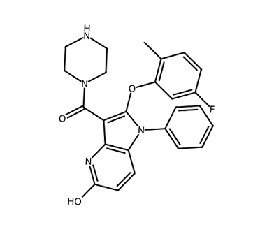 Cc1ccc(F)cc1Oc1c(C(=O)N2CCNCC2)c2nc(O)ccc2n1-c1ccccc1